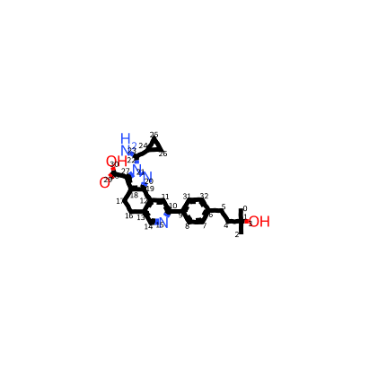 CC(C)(O)CCc1ccc(-c2cc3c(cn2)CCc2c-3nn(C(N)C3CC3)c2C(=O)O)cc1